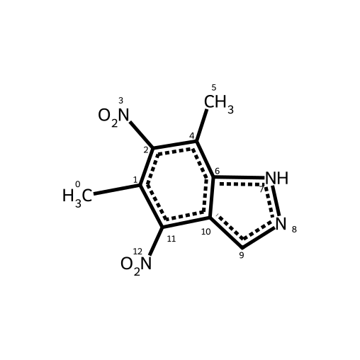 Cc1c([N+](=O)[O-])c(C)c2[nH]ncc2c1[N+](=O)[O-]